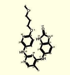 COCCCOc1ccc(Nc2ncc(C)c(Nc3ccc4oc(=O)[nH]c4c3)n2)cn1